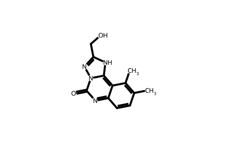 Cc1ccc2nc(=O)n3nc(CO)[nH]c3c2c1C